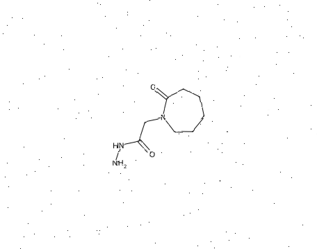 NNC(=O)CN1CCCCCC1=O